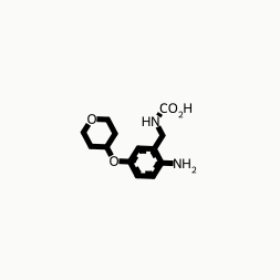 Nc1ccc(OC2CCOCC2)cc1CNC(=O)O